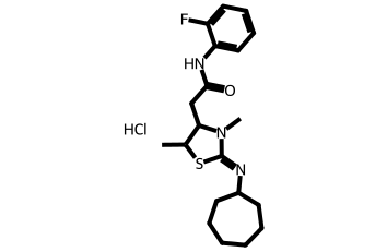 CC1S/C(=N\C2CCCCCC2)N(C)C1CC(=O)Nc1ccccc1F.Cl